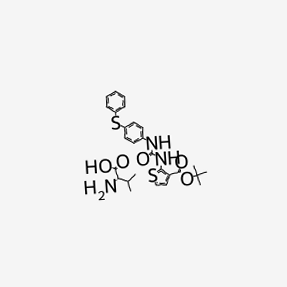 CC(C)(C)OC(=O)c1ccsc1NC(=O)Nc1ccc(Sc2ccccc2)cc1.CC(C)[C@H](N)C(=O)O